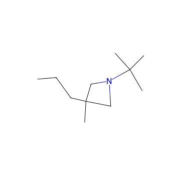 CCCC1(C)CN(C(C)(C)C)C1